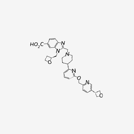 O=C(O)c1ccc2nc(CN3CCC(c4cccc(OCc5ccc(C6COC6)cn5)n4)CC3)n(C[C@@H]3CCO3)c2c1